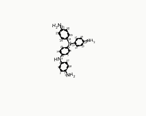 Nc1ccc(Nc2ccc(N(c3ccc(N)cc3)c3ccc(N)cc3)cc2)cc1